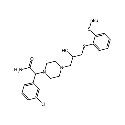 CCCCSc1ccccc1SCC(O)CN1CCN(C(C(N)=O)c2cccc(Cl)c2)CC1